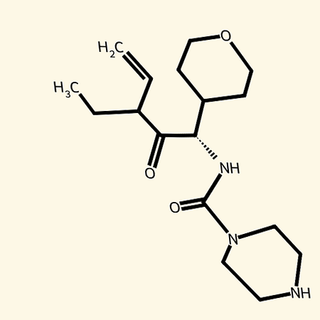 C=CC(CC)C(=O)[C@@H](NC(=O)N1CCNCC1)C1CCOCC1